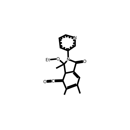 CCOC1(C)C2C(=C=O)C(C)=C(C)C=C2C(=O)N1c1cccnc1